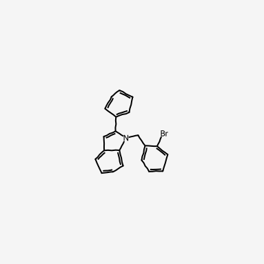 Brc1ccccc1Cn1c(-c2ccccc2)cc2ccccc21